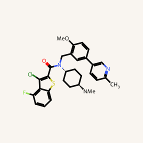 CN[C@H]1CC[C@H](N(Cc2cc(-c3ccc(C)nc3)ccc2OC)C(=O)c2sc3cccc(F)c3c2Cl)CC1